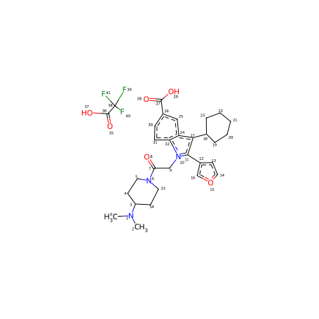 CN(C)C1CCN(C(=O)Cn2c(-c3ccoc3)c(C3CCCCC3)c3cc(C(=O)O)ccc32)CC1.O=C(O)C(F)(F)F